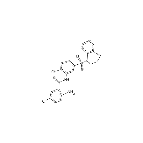 Nc1ccc(Cl)cc1C(=O)Nc1cc(S(=O)(=O)N2CCCc3ccccc32)ccc1Cl